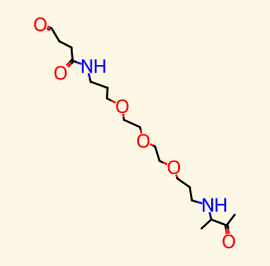 CC(=O)C(C)NCCCOCCOCCOCCCNC(=O)CCC=O